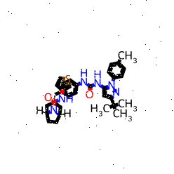 Cc1ccc(-n2nc(C(C)(C)C)cc2NC(=O)Nc2ccc(C[C@@H]3C[C@H]4CC[C@@H](C3)N4C(=O)Nc3ccsc3)cc2)cc1